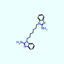 Nc1nc2ccccc2n1CCCCCCCn1c(N)nc2ccccc21